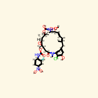 COc1cc2cc(c1Cl)N(C)C(=O)C[C@H](OC(=O)Nc1ccc([N+](=O)[O-])cc1F)[C@]1(C)O[C@H]1[C@H](C)[C@@H]1C[C@@](O)(NC(=O)O1)[C@H](OC)/C=C/C=C(\C)C2